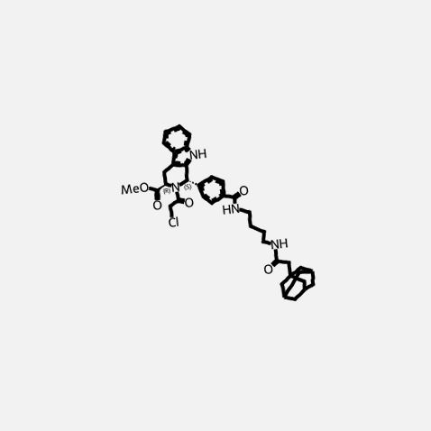 COC(=O)[C@H]1Cc2c([nH]c3ccccc23)[C@H](c2ccc(C(=O)NCCCCNC(=O)CC34CC5CC(CC(C5)C3)C4)cc2)N1C(=O)CCl